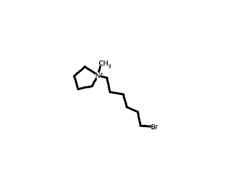 C[N+]1(CCCCCCBr)CCCC1